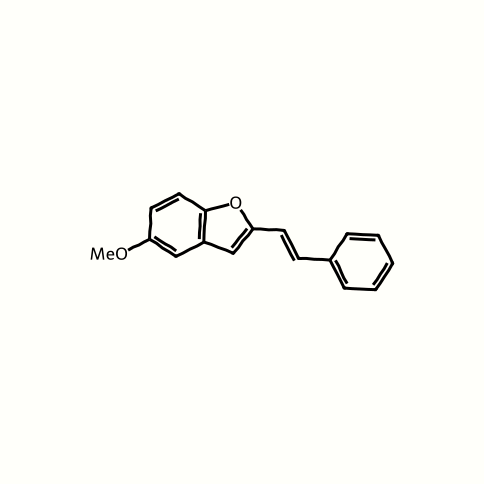 COc1ccc2oc(C=Cc3ccccc3)cc2c1